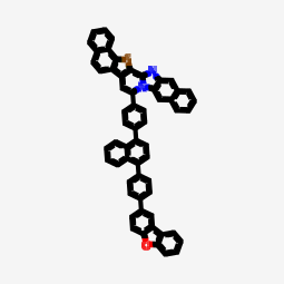 c1ccc2cc3c(cc2c1)nc1c2sc4c5ccccc5ccc4c2cc(-c2ccc(-c4ccc(-c5ccc(-c6ccc7oc8ccccc8c7c6)cc5)c5ccccc45)cc2)n31